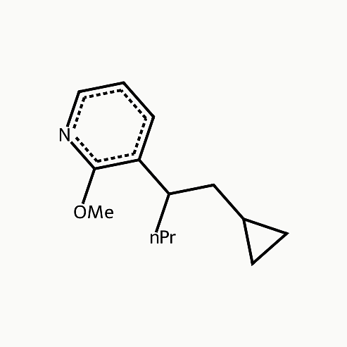 CCCC(CC1CC1)c1cccnc1OC